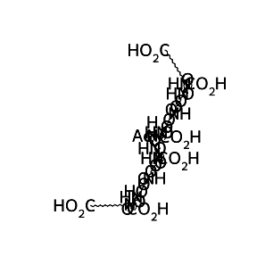 CC(=O)[C@H](CCCCNC(=O)CC[C@H](NC(=O)COCCOCCNC(=O)COCCOCCNC(=O)CC[C@H](NC(=O)CCCCCCCCCCCCCCC(=O)O)C(=O)O)C(=O)O)NC(=O)CC[C@H](NC(=O)COCCOCCNC(=O)COCCOCCNC(=O)CC[C@H](NC(=O)CCCCCCCCCCCCCCC(=O)O)C(=O)O)C(=O)O